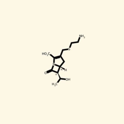 CC(O)[C@H]1C(=O)N2C(C(=O)O)=C(CSCCN)C[C@H]12